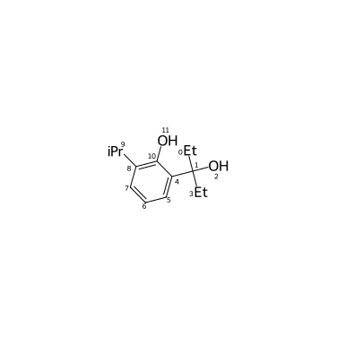 CCC(O)(CC)c1cccc(C(C)C)c1O